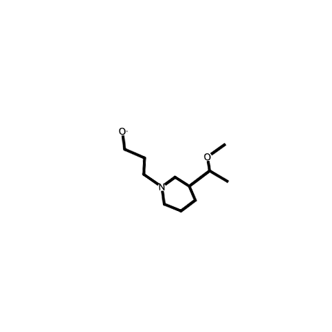 COC(C)C1CCCN(CCC[O])C1